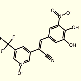 N#C/C(=C\c1cc(O)c(O)c([N+](=O)[O-])c1)c1cc(C(F)(F)F)c[n+]([O-])c1